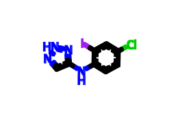 Clc1ccc(Nc2cn[nH]n2)c(I)c1